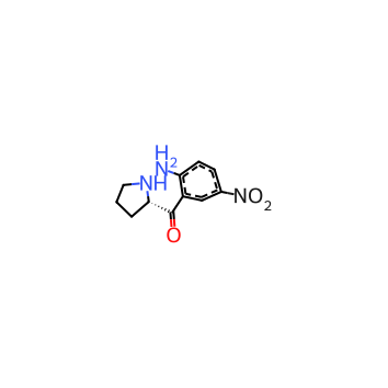 Nc1ccc([N+](=O)[O-])cc1C(=O)[C@@H]1CCCN1